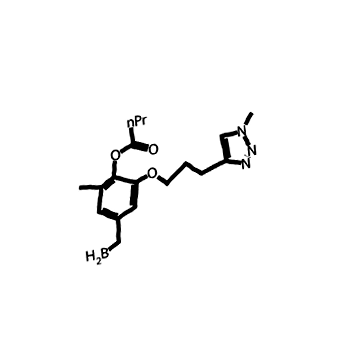 BCc1cc(C)c(OC(=O)CCC)c(OCCCc2cn(C)nn2)c1